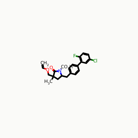 C=COCC1(C)CC(Cc2ccc(-c3cc(Cl)ccc3F)cc2)N(C(=O)O)C1=O